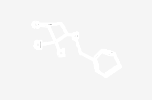 O=C1CC(OCc2ccccc2)C1(Cl)Cl